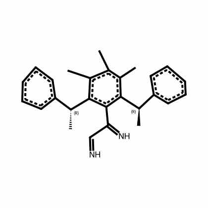 Cc1c(C)c([C@H](C)c2ccccc2)c(C(=N)C=N)c([C@H](C)c2ccccc2)c1C